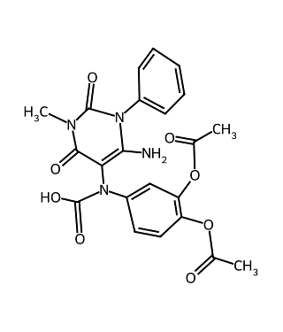 CC(=O)Oc1ccc(N(C(=O)O)c2c(N)n(-c3ccccc3)c(=O)n(C)c2=O)cc1OC(C)=O